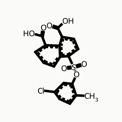 Cc1ccc(Cl)cc1OS(=O)(=O)c1ccc(C(=O)O)c2c(C(=O)O)cccc12